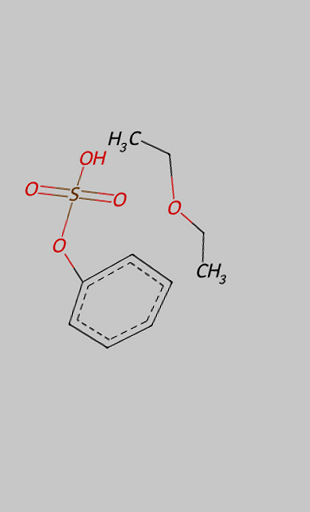 CCOCC.O=S(=O)(O)Oc1ccccc1